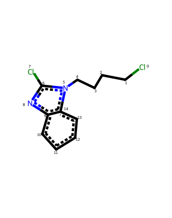 ClCCCCn1c(Cl)nc2ccccc21